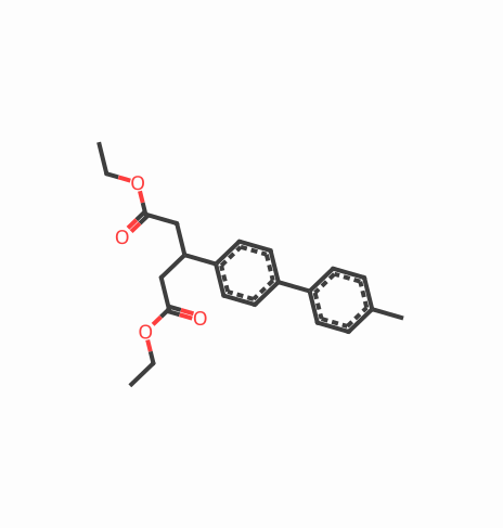 CCOC(=O)CC(CC(=O)OCC)c1ccc(-c2ccc(C)cc2)cc1